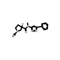 CN(C(=O)C1(F)CCN(C#N)C1)c1cc(-c2ccccc2)on1